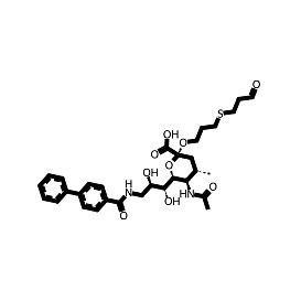 CC(=O)N[C@H]1[C@H]([C@H](O)[C@H](O)CNC(=O)c2ccc(-c3ccccc3)cc2)O[C@@](OCCCSCCC=O)(C(=O)O)C[C@@H]1C